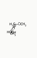 CC1CCCC(CCC(C)OC[C@H](I)CC2C=CC(C(C)(O)O)CC2)CC1